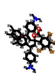 Cc1ccc(C(=CC2(C=C(c3ccc(N(C)C)cc3)c3ccc(C)c(C)c3)OC(=O)c3c(Br)c(Br)c(Br)c(Br)c32)c2ccc(N(C)C)cc2)cc1C